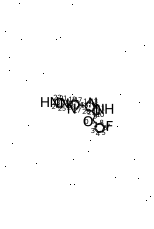 O=C(c1cccc(F)c1)c1c[nH]c2ncc(-c3ccc(N4CCNCC4)nc3)cc12